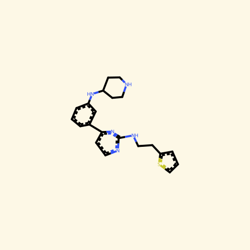 c1cc(NC2CCNCC2)cc(-c2ccnc(NCCc3cccs3)n2)c1